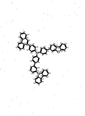 c1cc(-c2ccc(N(c3ccc(-c4ccc5c(c4)oc4ccccc45)cc3)c3ccc(-c4cc5ccccc5c5ccccc45)cc3)cc2)cc(-n2c3ccccc3c3ccccc32)c1